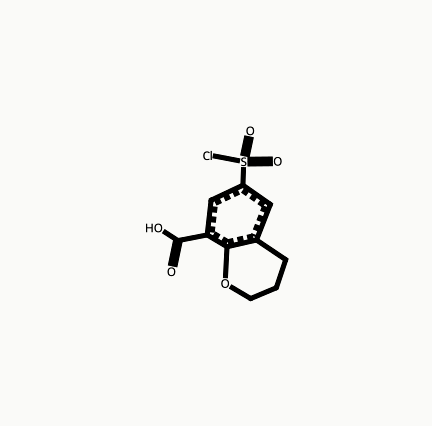 O=C(O)c1cc(S(=O)(=O)Cl)cc2c1OCCC2